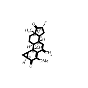 C=C1C[C@H]2[C@@H]3C[C@@H](F)C(=O)[C@@]3(C)CC[C@@H]2[C@]2(C)C1=C(OC)C(=O)[C@H]1CC12